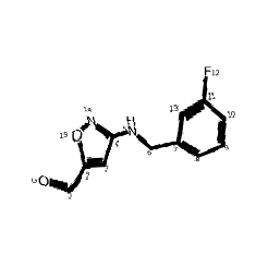 O=Cc1cc(NCc2cccc(F)c2)no1